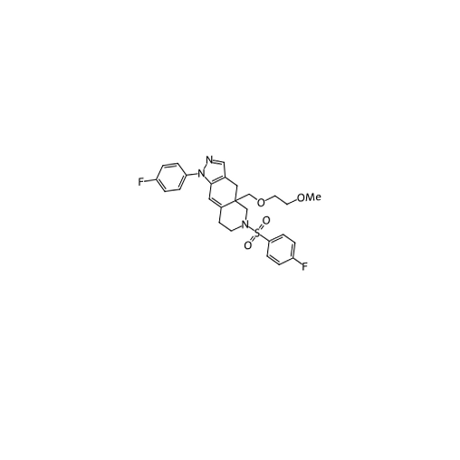 COCCOCC12Cc3cnn(-c4ccc(F)cc4)c3C=C1CCN(S(=O)(=O)c1ccc(F)cc1)C2